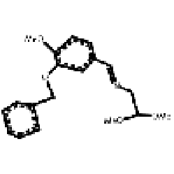 COc1ccc(C=NCC(OC)OC)cc1OCc1ccccc1